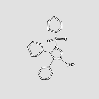 O=Cc1cn(S(=O)(=O)c2ccccc2)c(-c2ccccc2)c1-c1ccccc1